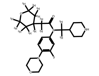 [2H]C([2H])(C1CCNCC1)N(C(=O)C([2H])([2H])C1([2H])C([2H])([2H])C([2H])([2H])OC([2H])([2H])C1([2H])[2H])c1ccc(N2CCOCC2)c(F)c1